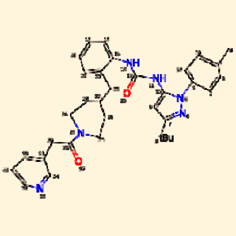 Cc1ccc(-n2nc(C(C)(C)C)cc2NC(=O)Nc2ccccc2CC2CCN(C(=O)Cc3cccnc3)CC2)cc1